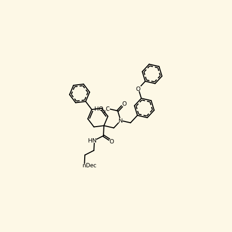 CCCCCCCCCCCCNC(=O)C1(CN(Cc2cccc(Oc3ccccc3)c2)C(=O)C(=O)O)C=CC(c2ccccc2)=CC1